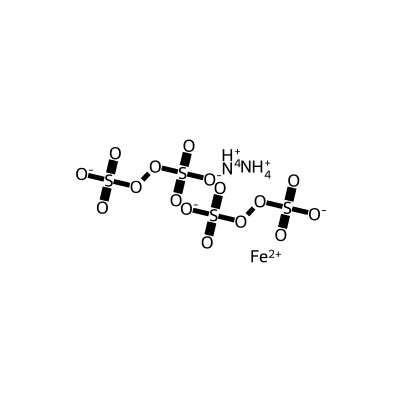 O=S(=O)([O-])OOS(=O)(=O)[O-].O=S(=O)([O-])OOS(=O)(=O)[O-].[Fe+2].[NH4+].[NH4+]